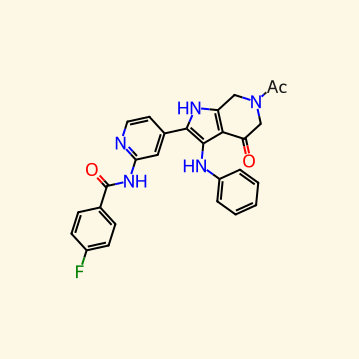 CC(=O)N1CC(=O)c2c([nH]c(-c3ccnc(NC(=O)c4ccc(F)cc4)c3)c2Nc2ccccc2)C1